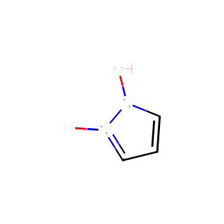 [O-][n+]1cccn1O